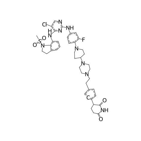 CS(=O)(=O)N1CCc2cccc(Nc3nc(Nc4ccc(N5CCC(N6CCN(CCc7ccc(C8CCC(=O)NC8=O)cc7)CC6)CC5)c(F)c4)ncc3Cl)c21